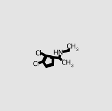 CCNC(C)c1ccc(Cl)c(Cl)c1